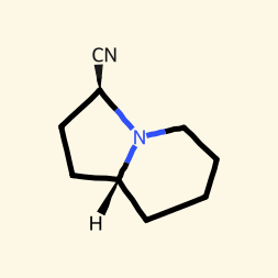 N#C[C@@H]1CC[C@H]2CCCCN21